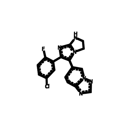 Fc1ccc(Cl)cc1-c1nc2n(c1-c1ccc3ncnn3c1)CCN2